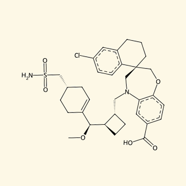 CO[C@@H](C1=CC[C@@H](CS(N)(=O)=O)CC1)[C@@H]1CC[C@H]1CN1C[C@@]2(CCCc3cc(Cl)ccc32)COc2ccc(C(=O)O)cc21